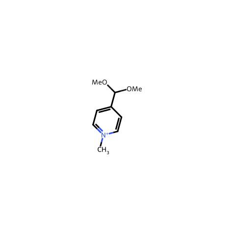 COC(OC)c1cc[n+](C)cc1